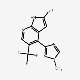 Cn1cnc(-c2c(C(F)(F)F)cnc3[nH]c(S)cc23)n1